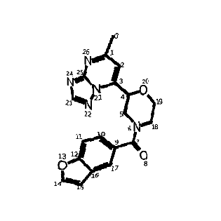 Cc1cc(C2CN(C(=O)c3ccc4occc4c3)CCO2)n2ncnc2n1